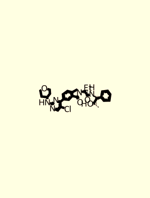 CC[C@H](C(=O)N[C@@H](c1ccccc1)[C@H](C)O)N1Cc2ccc(-c3nc(NC4CCOCC4)ncc3Cl)cc2C1=O